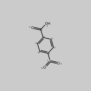 O=C(O)c1ccc(I(=O)=O)cc1